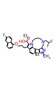 CCOC(O)c1c(CCCOc2cccc3cc(F)ccc23)c2ccc(Cl)c3c2n1CCCCN(CC(F)F)Cc1nn(C)c(CC)c1-3